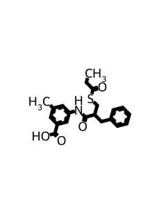 CCC(=O)SCC(Cc1ccccc1)C(=O)Nc1cc(C)cc(C(=O)O)c1